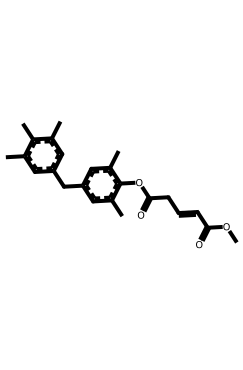 COC(=O)/C=C/CC(=O)Oc1c(C)cc(Cc2cc(C)c(C)c(C)c2)cc1C